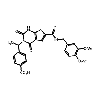 COc1ccc(CNC(=O)c2cc3c(=O)n(C(C)c4ccc(C(=O)O)cc4)c(=O)[nH]c3s2)cc1OC